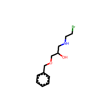 OC(CNCCBr)COCc1ccccc1